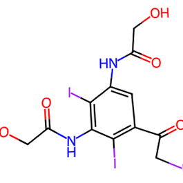 O=C(CO)Nc1cc(C(=O)CI)c(I)c(NC(=O)CO)c1I